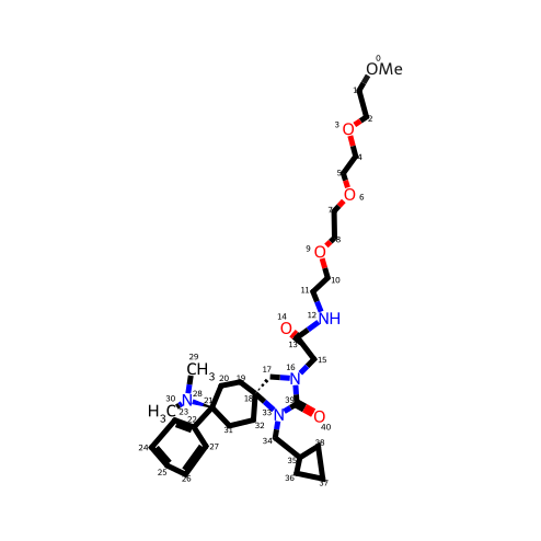 COCCOCCOCCOCCNC(=O)CN1C[C@]2(CC[C@](c3ccccc3)(N(C)C)CC2)N(CC2CCC2)C1=O